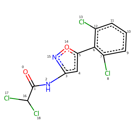 O=C(Nc1cc(-c2c(Cl)cccc2Cl)on1)C(Cl)Cl